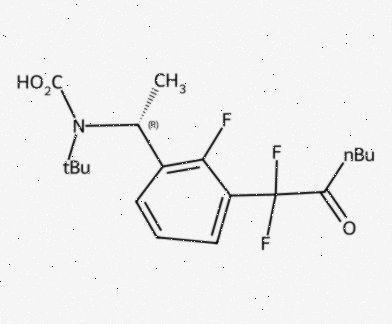 CCCCC(=O)C(F)(F)c1cccc([C@@H](C)N(C(=O)O)C(C)(C)C)c1F